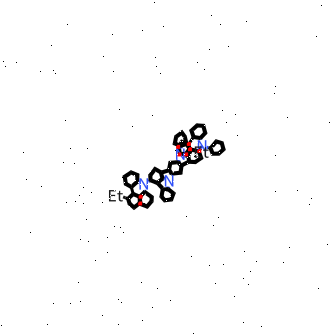 CCc1ccccc1-c1ccccc1N(c1ccccc1)c1ccc2c3cc4c(cc3n3c5ccccc5c1c23)c1ccc(N(c2ccccc2)c2ccccc2-c2ccccc2CC)c2c3ccccc3n4c12